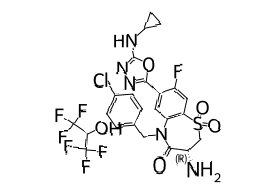 N[C@H]1CS(=O)(=O)c2cc(F)c(-c3nnc(NC4CC4)o3)cc2N(Cc2ccc(Cl)cc2)C1=O.OC(C(F)(F)F)C(F)(F)F